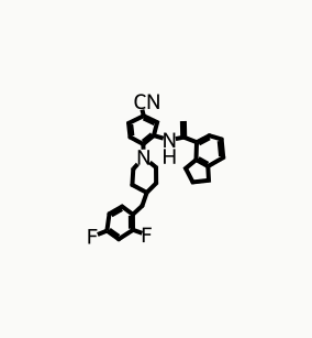 C=C(Nc1cc(C#N)ccc1N1CCC(Cc2ccc(F)cc2F)CC1)c1cccc2c1CCC2